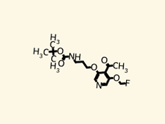 CC(=O)c1c(OCF)cncc1OCCCNC(=O)OC(C)(C)C